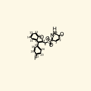 O=c1ccc(S(=O)(=O)Cc2oc3ccccc3c2-c2ccc(F)cc2)n[nH]1